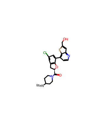 CNC1CCN(C(=O)[C@H]2Cc3cc(Cl)cc(-c4ccnc5cc(CO)sc45)c3O2)CC1